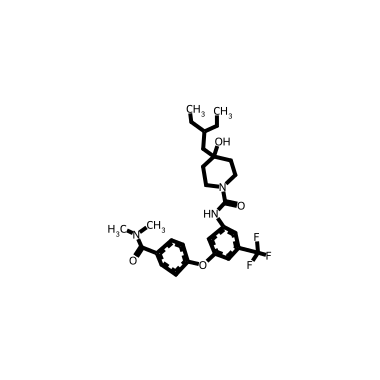 CCC(CC)CC1(O)CCN(C(=O)Nc2cc(Oc3ccc(C(=O)N(C)C)cc3)cc(C(F)(F)F)c2)CC1